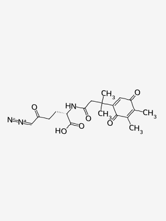 CC1=C(C)C(=O)C(C(C)(C)CC(=O)N[C@@H](CCC(=O)C=[N+]=[N-])C(=O)O)=CC1=O